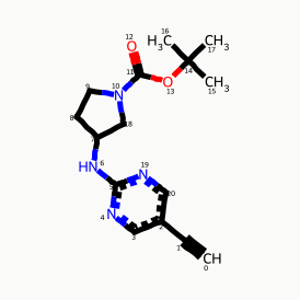 C#Cc1cnc(NC2CCN(C(=O)OC(C)(C)C)C2)nc1